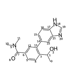 CC(O)c1ccc(C(=O)N(C)C)cc1-c1ccc2[nH]cnc2c1